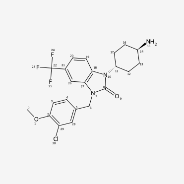 COc1ccc(Cn2c(=O)n([C@H]3CC[C@H](N)CC3)c3ccc(C(F)(F)F)cc32)cc1Cl